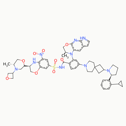 C[C@@H]1COC([C@@H]2COc3cc(S(=O)(=O)NC(=O)c4ccc(N5CCC6(CC5)CC(N5CCC[C@H]5c5ccccc5C5CC5)C6)cc4N4c5cc6cc[nH]c6nc5OC[C@@H]4C)cc([N+](=O)[O-])c3N2)CN1C1COC1